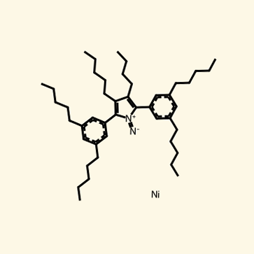 CCCCCC1=C(c2cc(CCCCC)cc(CCCCC)c2)[N+](=[N-])C(c2cc(CCCCC)cc(CCCCC)c2)=C1CCCC.[Ni]